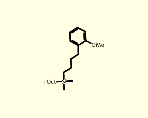 CCCCCCCC[Si](C)(C)CCCCc1ccccc1OC